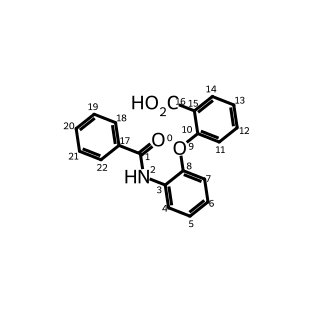 O=C(Nc1ccccc1Oc1ccccc1C(=O)O)c1ccccc1